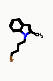 Cc1cc2ccccc2n1CCCCBr